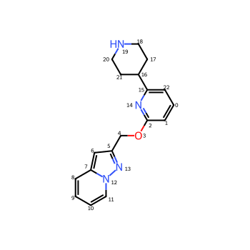 c1cc(OCc2cc3ccccn3n2)nc(C2CCNCC2)c1